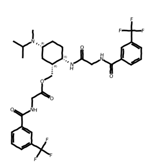 CC(C)N(C)[C@@H]1CC[C@H](NC(=O)CNC(=O)c2cccc(C(F)(F)F)c2)[C@H](COC(=O)CNC(=O)c2cccc(C(F)(F)F)c2)C1